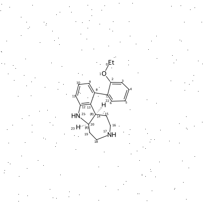 CCOc1ccccc1-c1cccc2c1[C@H]1CCNCC[C@H]1N2